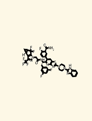 NC(=O)c1cc(-c2cc3sc(N4CCN(c5nc6ccccc6[nH]5)CC4)nc3nc2[C@H](Cc2cc(F)cc(F)c2)NC(=O)Cn2nc(C(F)(F)F)c3c2C(F)(F)C2C[C@H]32)ccc1F